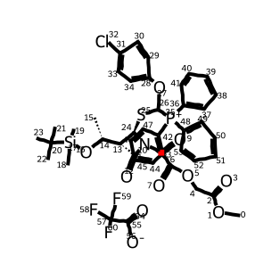 COC(=O)COC(=O)C(=O)N1C(=O)[C@H]([C@@H](C)O[Si](C)(C)C(C)(C)C)[C@H]1SC(Oc1ccc(Cl)cc1)[P+](c1ccccc1)(c1ccccc1)c1ccccc1.O=C([O-])C(F)(F)F